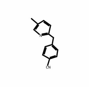 Cc1ccc(Cc2ccc(C#N)cc2)nc1